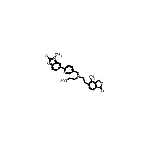 Cc1c(CCN(CCO)Cc2ccc(-c3ccc4oc(=O)n(C)c4c3)nc2)ccc2c1COC2=O